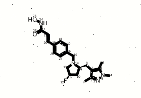 Cc1nn(C)c(C)c1C[C@H]1C[C@@H](F)CN1Cc1ccc(/C=C/C(=O)NO)cc1